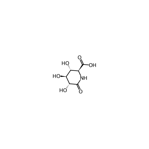 O=C(O)[C@H]1NC(=O)[C@H](O)[C@@H](O)[C@@H]1O